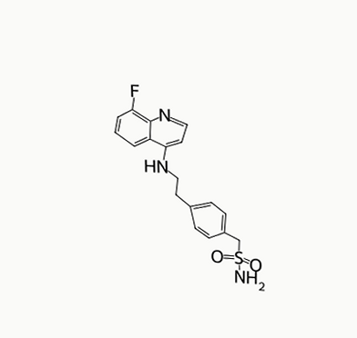 NS(=O)(=O)Cc1ccc(CCNc2ccnc3c(F)cccc23)cc1